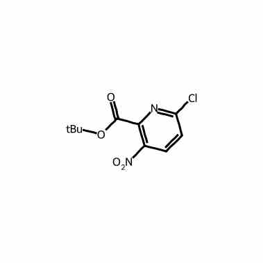 CC(C)(C)OC(=O)c1nc(Cl)ccc1[N+](=O)[O-]